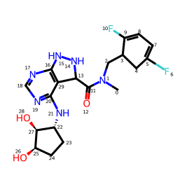 CN(CC1CC(F)=CC=C1F)C(=O)C1NNc2ncnc(N[C@@H]3CC[C@@H](O)[C@H]3O)c21